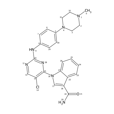 CN1CCN(c2ccc(Nc3ncc(Cl)c(-n4cc(C(N)=O)c5ccccc54)n3)cc2)CC1